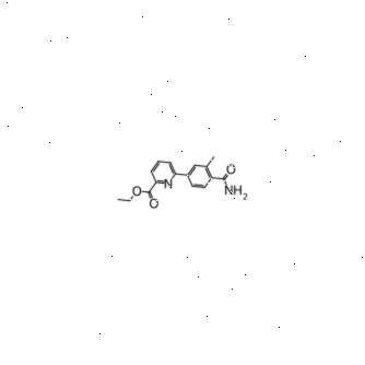 CCOC(=O)c1cccc(-c2ccc(C(N)=O)c(C)c2)n1